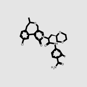 CC1Cc2ccc(Cl)cc2-c2cc(=O)n(C(C[C@@H]3COCCO3)C(=O)Nc3ccc(C(N)=O)c(F)c3)cc2CO1